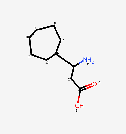 NC(CC(=O)O)C1CCCCCC1